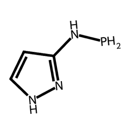 PNc1cc[nH]n1